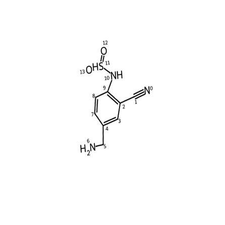 N#Cc1cc(CN)ccc1N[SH](=O)=O